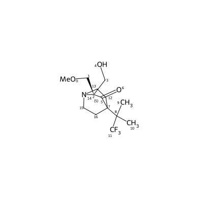 COC[C@@]1(CO)C(=O)C2(C(C)(C)C(F)(F)F)CCN1CC2